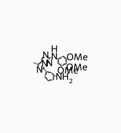 COc1cc(Nc2ncc3c(C)nc(-c4cccc(N)c4)n3n2)cc(OC)c1OC